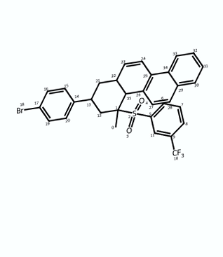 CC1(S(=O)(=O)c2cccc(C(F)(F)F)c2)CC(c2ccc(Br)cc2)CC2C=Cc3c(ccc4ccccc34)C21